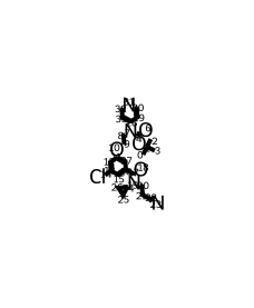 CC(C)(C)OC(=O)N(CCOc1cc(Cl)cc(C(=O)N(CCC#N)C2CC2)c1)c1ccncc1